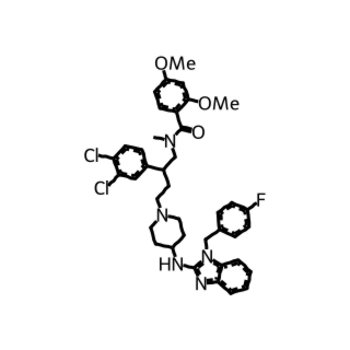 COc1ccc(C(=O)N(C)CC(CCN2CCC(Nc3nc4ccccc4n3Cc3ccc(F)cc3)CC2)c2ccc(Cl)c(Cl)c2)c(OC)c1